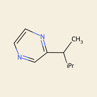 CC(C)C(C)c1cnccn1